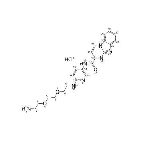 Cl.NCCOCCOCCNc1ccc(NC(=O)c2ccn3c(n2)nc2ccccc23)cn1